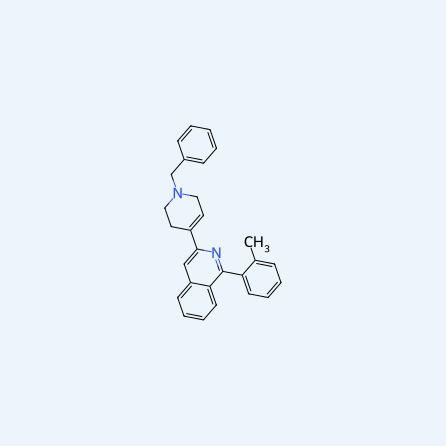 Cc1ccccc1-c1nc(C2=CCN(Cc3ccccc3)CC2)cc2ccccc12